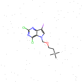 C[Si](C)(C)CCOCn1cc(I)c2nc(Cl)nc(Cl)c21